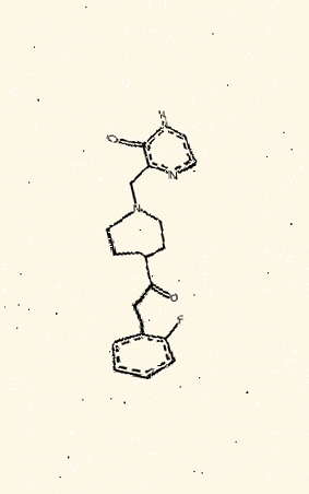 O=C(Cc1ccccc1F)C1CCN(Cc2ncc[nH]c2=O)CC1